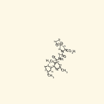 Cc1cccc(-c2nc(C)cc(C(=O)NCC(=O)N3CC4(C[C@H]3C(=O)O)OCCO4)c2C)c1